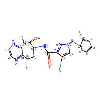 C[C@H]1C[C@H](NC(=O)c2nn(Cc3ccccc3F)cc2F)C(=O)N(C)c2nccnc21